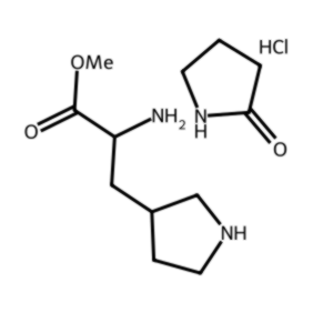 COC(=O)C(N)CC1CCNC1.Cl.O=C1CCCN1